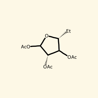 CC[C@H]1OC(OC(C)=O)[C@@H](OC(C)=O)C1OC(C)=O